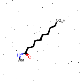 CCCCNC(=O)CCCCCCCCC(=O)O